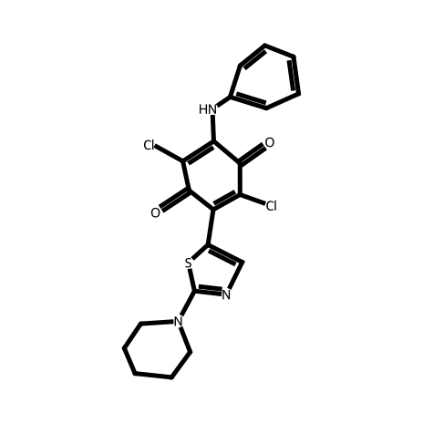 O=C1C(Cl)=C(c2cnc(N3CCCCC3)s2)C(=O)C(Cl)=C1Nc1ccccc1